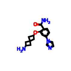 NC(=O)c1ccc(-n2ccnc2)cc1OC1CC2(CC(N)C2)C1